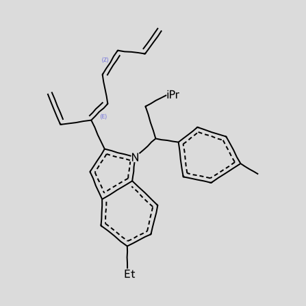 C=C/C=C\C=C(/C=C)c1cc2cc(CC)ccc2n1C(CC(C)C)c1ccc(C)cc1